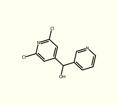 OC(c1cccnc1)c1cc(Cl)nc(Cl)c1